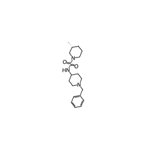 C[C@@H]1CCCN(S(=O)(=O)NC2CCN(Cc3ccccc3)CC2)C1